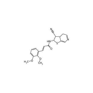 COc1cccc(C=CC(=O)NC2SC3=CN=CCC3C2C#N)c1OC